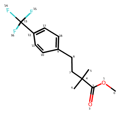 COC(=O)C(C)(C)CCc1ccc(C(F)(F)F)cc1